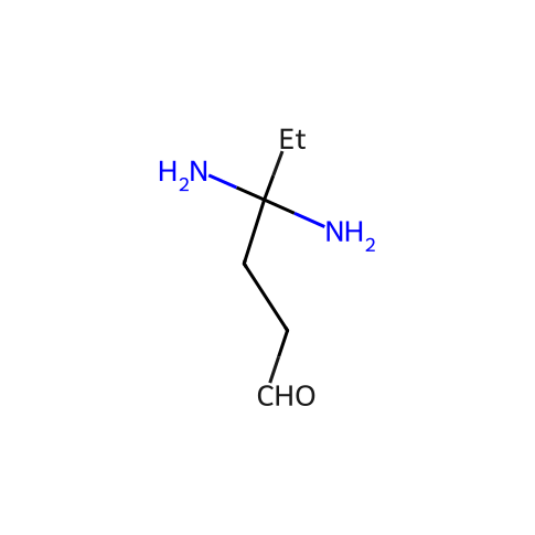 CCC(N)(N)CCC=O